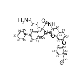 NCCCCC1C(=O)NC(Cc2ccc(Oc3cccc(C=O)c3)cc2)C(=O)N1Cc1ccc(-c2ccccc2)cc1